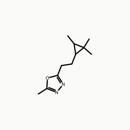 Cc1nnc(CCC2C(C)C2(C)C)o1